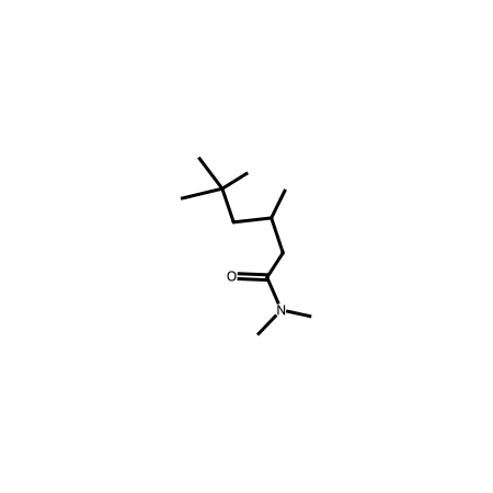 CC(CC(=O)N(C)C)CC(C)(C)C